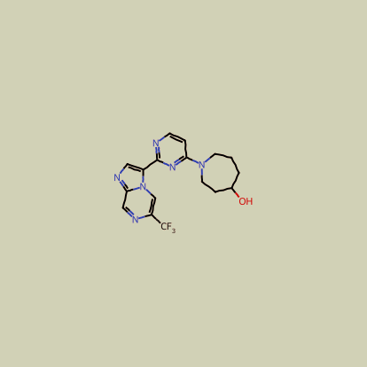 OC1CCCN(c2ccnc(-c3cnc4cnc(C(F)(F)F)cn34)n2)CC1